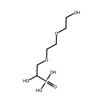 O=P(O)(O)C(O)COCCOCCO